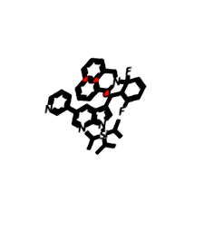 CC(C)[Si](C(C)C)(C(C)C)n1cc(C(=O)C2C(F)=CC=CC2(F)N(Cc2ccccc2)Cc2ccccc2)c2cc(-c3cccnc3)cnc21